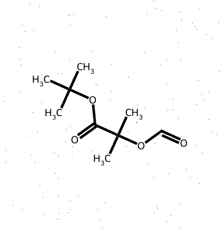 CC(C)(C)OC(=O)C(C)(C)OC=O